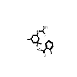 CC1CC(NC(=S)S)CC(C)(C)C1.O=C(O)c1ccccc1F